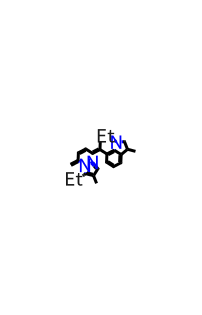 C=C(/C=C\C=C(/C)c1cccc2c1N(CC)CC2C)n1ncc(C)c1CC